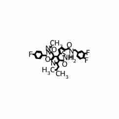 Cc1nnc(-c2c(OCc3ccc(F)cc3)nc(CC(C)C)c(C(N)=O)c2-c2ccc(C(=O)NCc3ccc(F)c(F)c3)s2)o1